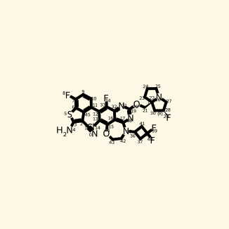 N#Cc1c(N)sc2c(F)ccc(-c3c(Cl)c4c5c(nc(OC[C@@]67CCCN6C[C@H](F)C7)nc5c3F)N(C3CC(F)(F)C3)CCO4)c12